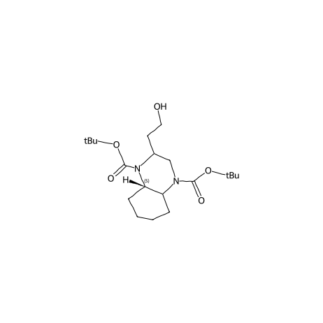 CC(C)(C)OC(=O)N1CC(CCO)N(C(=O)OC(C)(C)C)[C@H]2CCCCC21